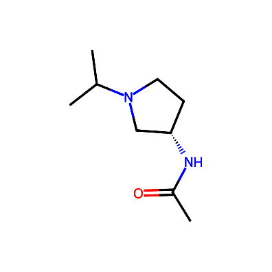 CC(=O)N[C@H]1CCN(C(C)C)C1